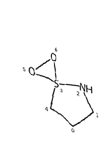 C1CNS2(C1)OO2